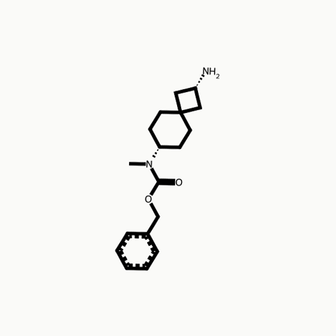 CN(C(=O)OCc1ccccc1)[C@H]1CCC2(CC1)C[C@@H](N)C2